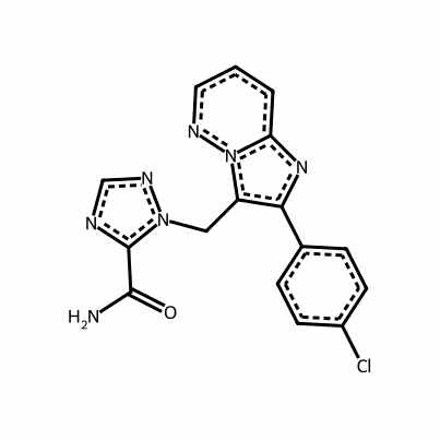 NC(=O)c1ncnn1Cc1c(-c2ccc(Cl)cc2)nc2cccnn12